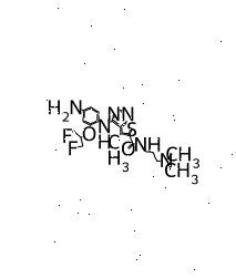 Cc1c(C(=O)NCCCN(C)C)sc2ncnc(Nc3ccc(N)cc3OC(CF)CF)c12